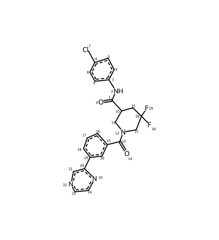 O=C(Nc1ccc(Cl)cc1)C1CN(C(=O)c2cccc(-c3cnccn3)c2)CC(F)(F)C1